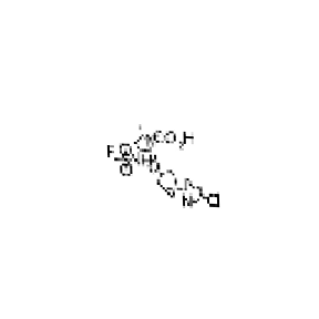 C[C@@H]1C[C@H](NS(=O)(=O)CF)[C@H](COC2CCC3(c4ncc(Cl)cn4)CC3C2)N1C(=O)O